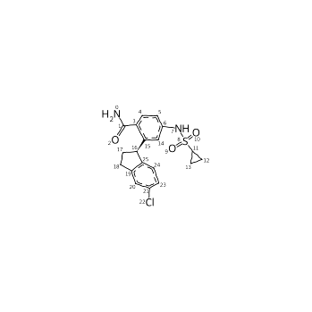 NC(=O)c1ccc(NS(=O)(=O)C2CC2)cc1[C@@H]1CCc2cc(Cl)ccc21